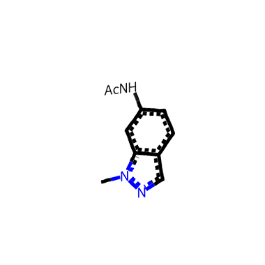 CC(=O)Nc1ccc2cnn(C)c2c1